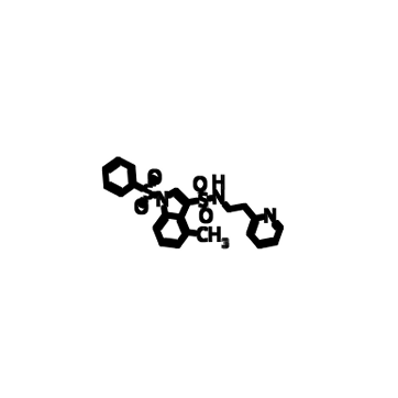 Cc1cccc2c1c(S(=O)(=O)NCCc1ccccn1)cn2S(=O)(=O)c1ccccc1